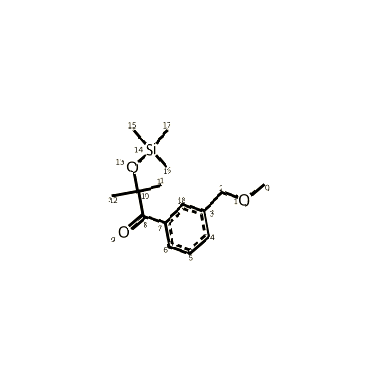 COCc1cccc(C(=O)C(C)(C)O[Si](C)(C)C)c1